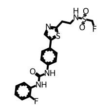 O=C(Nc1ccc(-c2cnc(CCNS(=O)(=O)CF)s2)cc1)Nc1ccccc1F